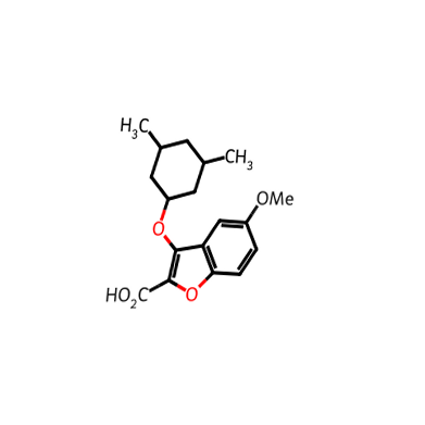 COc1ccc2oc(C(=O)O)c(OC3CC(C)CC(C)C3)c2c1